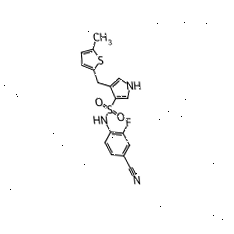 Cc1ccc(Cc2c[nH]cc2S(=O)(=O)Nc2ccc(C#N)cc2F)s1